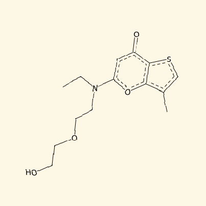 CCN(CCOCCO)c1cc(=O)c2scc(C)c2o1